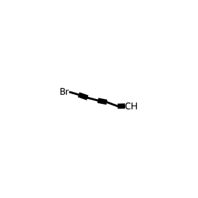 C#CC#CC#CBr